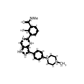 CNC(=O)c1cccc(-c2ncc3[nH]nc(-c4ccc(N5CCN(C)CC5)cc4)c3n2)c1F